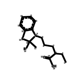 CCC(CCCN1c2ccccc2SC1(C)Br)C(=O)O